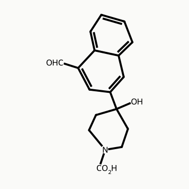 O=Cc1cc(C2(O)CCN(C(=O)O)CC2)cc2ccccc12